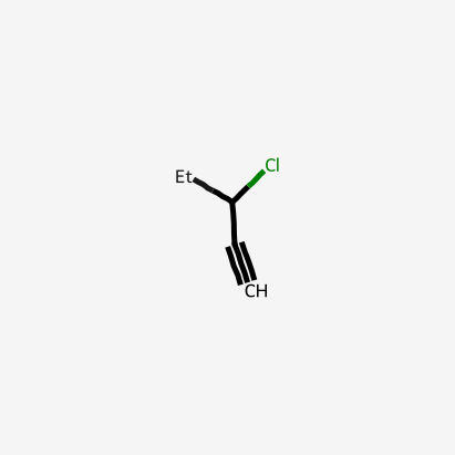 C#CC(Cl)C[CH2]